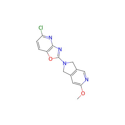 COc1cc2c(cn1)CN(c1nc3nc(Cl)ccc3o1)C2